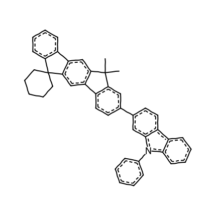 CC1(C)c2cc(-c3ccc4c5ccccc5n(-c5ccccc5)c4c3)ccc2-c2cc3c(cc21)-c1ccccc1C31CCCCC1